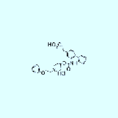 Cl.O=C(O)CCc1ccc(-c2ccccc2)c(NC(=O)OC2CCN(CCOc3ccccc3)CC2)c1